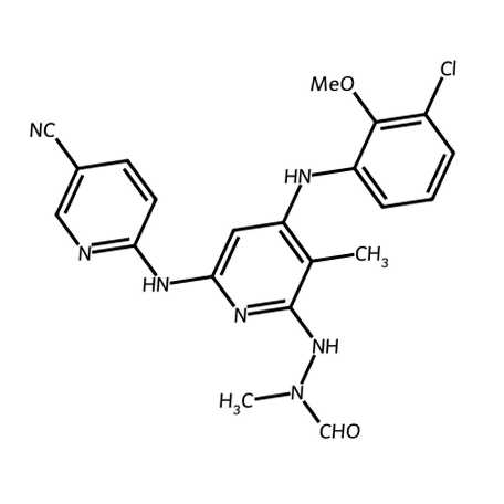 COc1c(Cl)cccc1Nc1cc(Nc2ccc(C#N)cn2)nc(NN(C)C=O)c1C